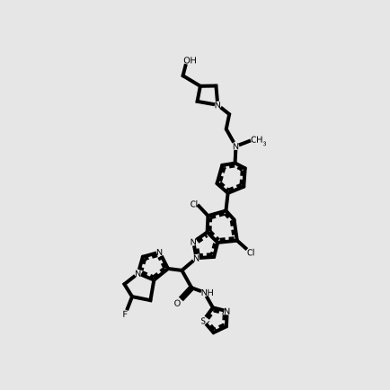 CN(CCN1CC(CO)C1)c1ccc(-c2cc(Cl)c3cn(C(C(=O)Nc4nccs4)c4ncn5c4CC(F)C5)nc3c2Cl)cc1